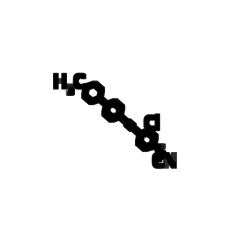 CC1CCC(c2ccc(C#Cc3ccc(SC#N)cc3Cl)cc2)CC1